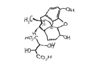 CN1CC[C@@]23c4c5ccc(O)c4OC2C(O)C=CC3[C@@H]1C5.O=C(O)C(O)C(O)C(=O)O